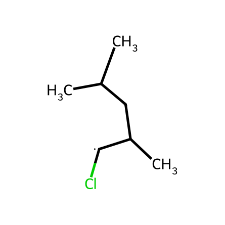 CC(C)CC(C)[CH]Cl